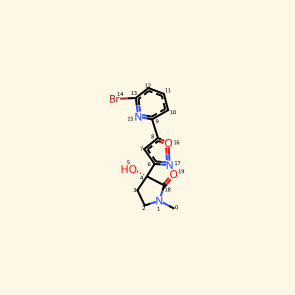 CN1CC[C@@](O)(c2cc(-c3cccc(Br)n3)on2)C1=O